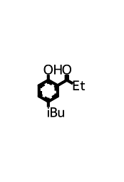 CCC(=O)c1cc(C(C)CC)ccc1O